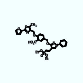 CCOP(=O)(C=Cc1cn(-c2ccccc2)nc1OCc1ccc(OCc2nc(-c3ccco3)oc2C)c(C(=O)O)c1)OCC